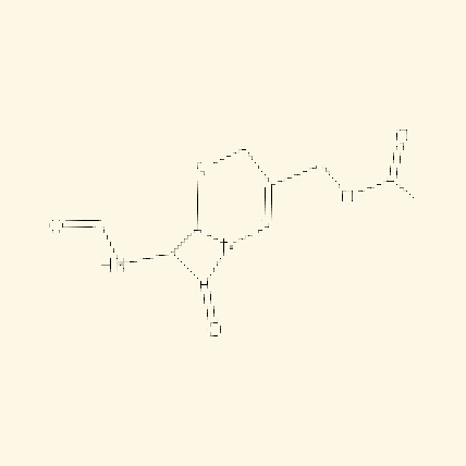 CC(=O)OCC1=CN2C(=O)C(NC=O)C2SC1